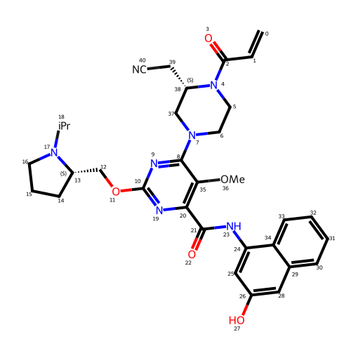 C=CC(=O)N1CCN(c2nc(OC[C@@H]3CCCN3C(C)C)nc(C(=O)Nc3cc(O)cc4ccccc34)c2OC)C[C@@H]1CC#N